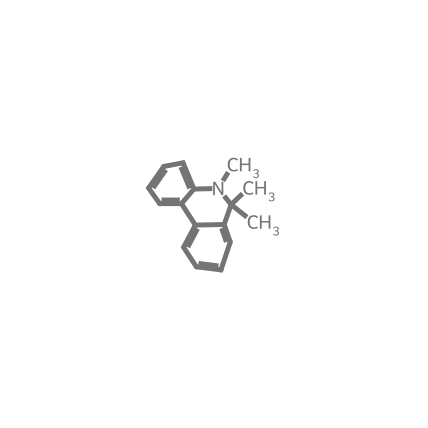 CN1c2ccccc2-c2ccccc2C1(C)C